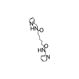 O=C(CCCCCC(=O)NCc1ccccn1)NCc1ccccn1